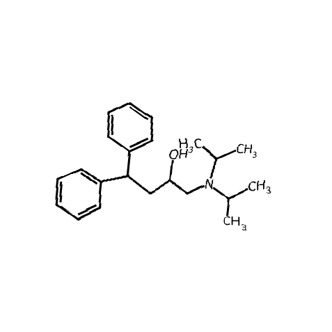 CC(C)N(CC(O)CC(c1ccccc1)c1ccccc1)C(C)C